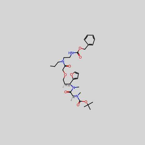 CCCN(CCNC(=O)OCc1ccccc1)C(=O)COC[C@@H](C)[C@@H](c1ccco1)N(C)C(=O)[C@@H](C)N(C)C(=O)OC(C)(C)C